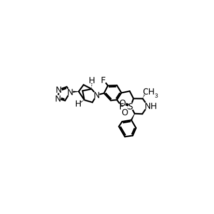 C[C@@H]1NC[C@@H](c2ccccc2)S(=O)(=O)C1Cc1cc(F)c(N2C[C@@H]3C[C@H]2C[C@@H]3n2cnnc2)cc1F